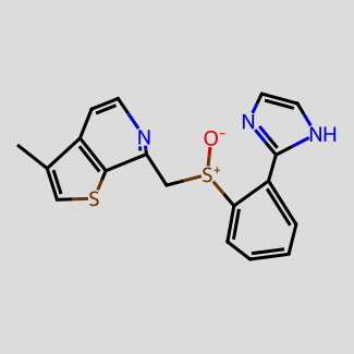 Cc1csc2c(C[S+]([O-])c3ccccc3-c3ncc[nH]3)nccc12